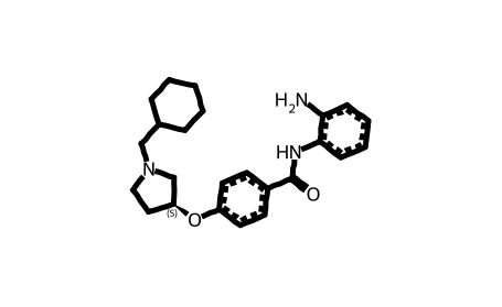 Nc1ccccc1NC(=O)c1ccc(O[C@H]2CCN(CC3CCCCC3)C2)cc1